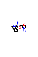 Cc1cc2ccccc2c(C(C)(C)NC(=O)C[C@@H]2CNCCO2)n1